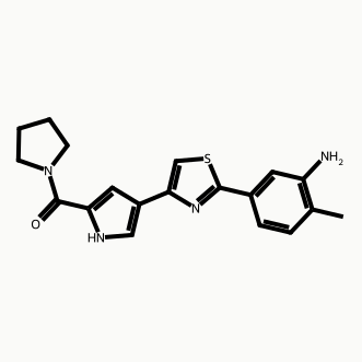 Cc1ccc(-c2nc(-c3c[nH]c(C(=O)N4CCCC4)c3)cs2)cc1N